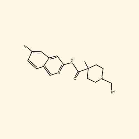 CC(C)CN1CCC(C)(C(=O)Nc2cc3cc(Br)ccc3cn2)CC1